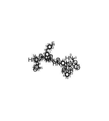 CNC(C)C(=O)NC(C(=O)N1Cc2ccc(NC(=O)CCNC(=O)[C@]3(C)CN(C(=O)CN4C[C@@H](C)NC[C@@H]4CN4CCOC[C@H]4C)c4cc(Cc5ccc(F)cc5)ccc43)cc2[C@H]1C(=O)Nc1c(F)cccc1F)C1CCOCC1